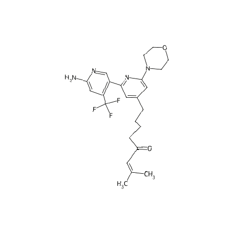 CC(C)=CC(=O)CCCCc1cc(-c2cnc(N)cc2C(F)(F)F)nc(N2CCOCC2)c1